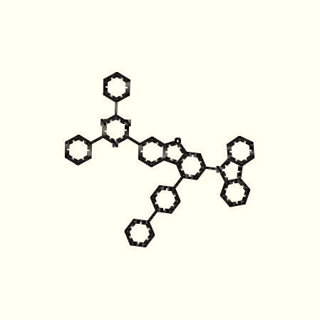 c1ccc(-c2ccc(-c3cc(-n4c5ccccc5c5ccccc54)cc4oc5cc(-c6nc(-c7ccccc7)nc(-c7ccccc7)n6)ccc5c34)cc2)cc1